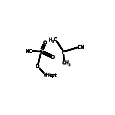 CCCCCCCOS(=O)(=O)C#N.CP(C)C#N